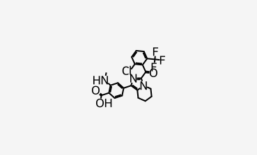 CNc1cc(-c2nc(C(=O)c3c(Cl)cccc3C(F)(F)F)n3c2CCCC3)ccc1C(=O)O